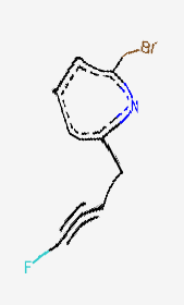 FC#CCc1cccc(Br)n1